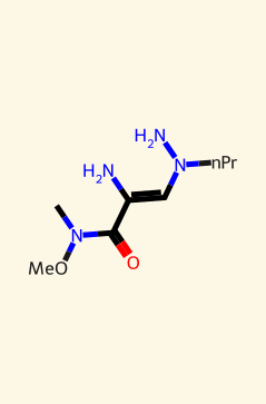 CCCN(N)/C=C(\N)C(=O)N(C)OC